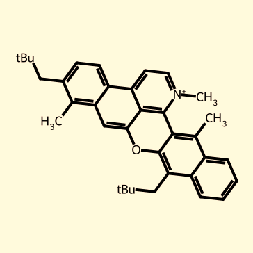 Cc1c2c(c(CC(C)(C)C)c3ccccc13)Oc1cc3c(C)c(CC(C)(C)C)ccc3c3cc[n+](C)c-2c13